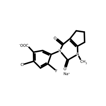 Cn1c2c(c(=O)n(-c3cc(C(=O)[O-])c(Cl)cc3F)c1=O)CCC2.[Na+]